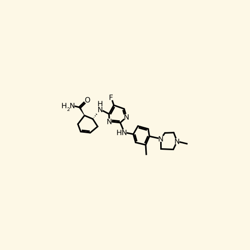 Cc1cc(Nc2ncc(F)c(N[C@@H]3CC=CC[C@H]3C(N)=O)n2)ccc1N1CCN(C)CC1